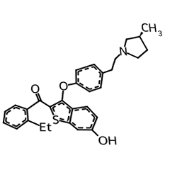 CCc1ccccc1C(=O)c1sc2cc(O)ccc2c1Oc1ccc(CCN2CC[C@H](C)C2)cc1